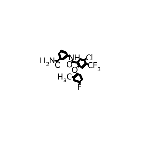 Cc1cc(F)ccc1Oc1cc(C(F)(F)F)c(Cl)cc1C(=O)Nc1cccc(C(N)=O)c1